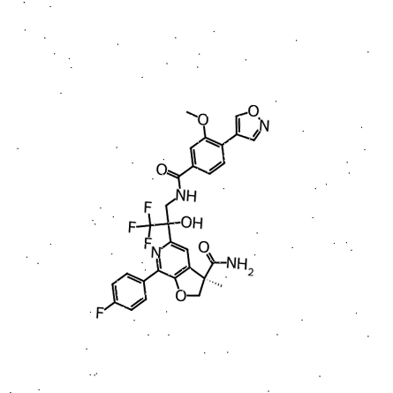 COc1cc(C(=O)NCC(O)(c2cc3c(c(-c4ccc(F)cc4)n2)OC[C@]3(C)C(N)=O)C(F)(F)F)ccc1-c1cnoc1